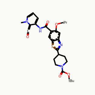 CC(C)Oc1cc2nc(C3CCN(C(=O)OC(C)(C)C)CC3)sc2cc1C(=O)NC1=CC=CN(C)C1=C=O